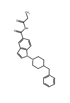 CCC(=O)NC(=O)c1ccc2c(ccn2N2CCC(Cc3ccccc3)CC2)c1